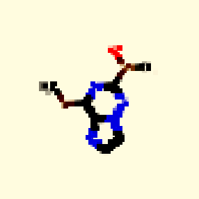 CSc1nc([S+](C)[O-])nn2ccnc12